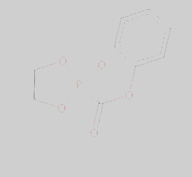 O=C(Oc1ccccc1)P1(=O)OCCO1